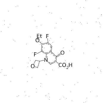 CCOc1c(F)cc2c(=O)c(C(=O)O)cn(C3COC3)c2c1F